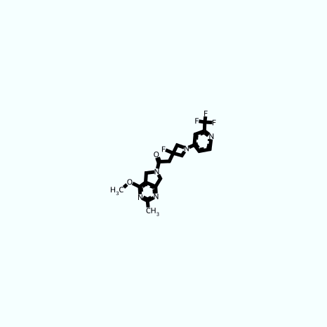 COc1nc(C)nc2c1CN(C(=O)CC1(F)CN(c3ccnc(C(F)(F)F)c3)C1)C2